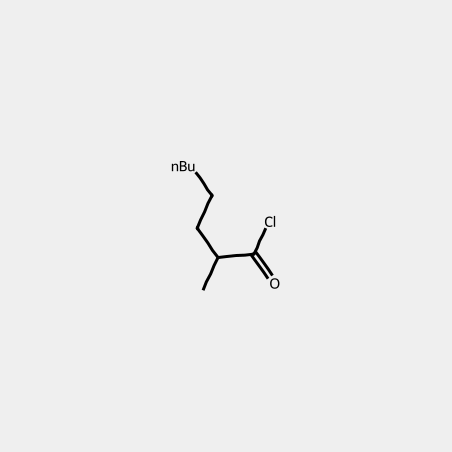 CCCCCCC(C)C(=O)Cl